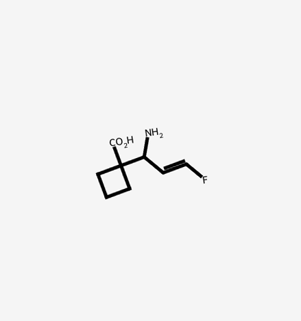 NC(C=CF)C1(C(=O)O)CCC1